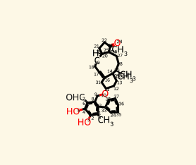 Cc1c(O)c(O)c(C=O)c(CO[C@H]2CC[C@@]3(C)/C(=C\CC[C@@H]4CCC(=O)[C@@]4(C)CC[C@H]3C)C2)c1-c1ccccc1